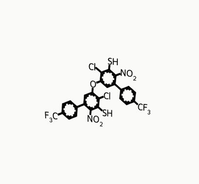 O=[N+]([O-])c1c(-c2ccc(C(F)(F)F)cc2)cc(Oc2cc(-c3ccc(C(F)(F)F)cc3)c([N+](=O)[O-])c(S)c2Cl)c(Cl)c1S